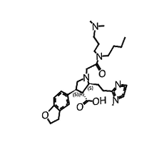 CCCCN(CCCN(C)C)C(=O)CN1C[C@H](c2ccc3c(c2)CCO3)[C@@H](C(=O)O)[C@@H]1CCc1nccn1C